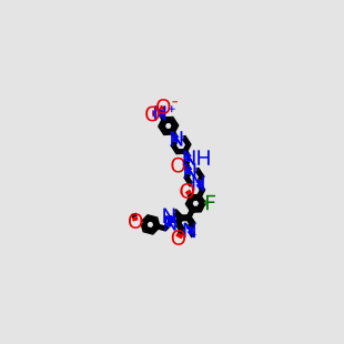 COc1ccc(Cn2ncc3c(-c4cc(F)c(CN5CCN(C(=O)NC6CCN(c7ccc([N+](=O)[O-])cc7)CC6)CC5)c(OC)c4)cn(C)c(=O)c32)cc1